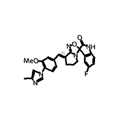 COc1cc(/C=C2\CCCN3C2=NOC32C(=O)Nc3ccc(F)cc32)ccc1-n1cnc(C)c1